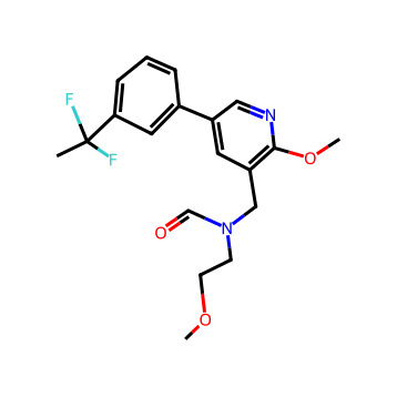 COCCN(C=O)Cc1cc(-c2cccc(C(C)(F)F)c2)cnc1OC